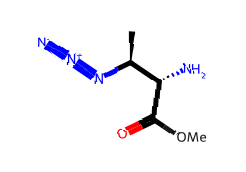 COC(=O)[C@@H](N)[C@H](C)N=[N+]=[N-]